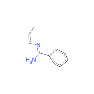 C/C=C\N=C(/N)c1ccccc1